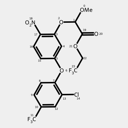 COC(Oc1cc(Oc2ccc(C(F)(F)F)cc2Cl)ccc1[N+](=O)[O-])C(=O)OCC(F)(F)F